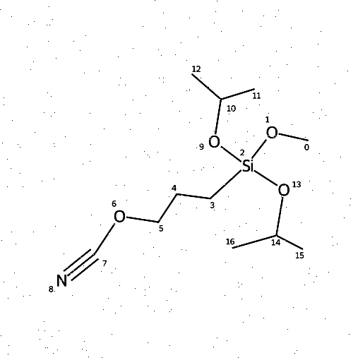 CO[Si](CCCOC#N)(OC(C)C)OC(C)C